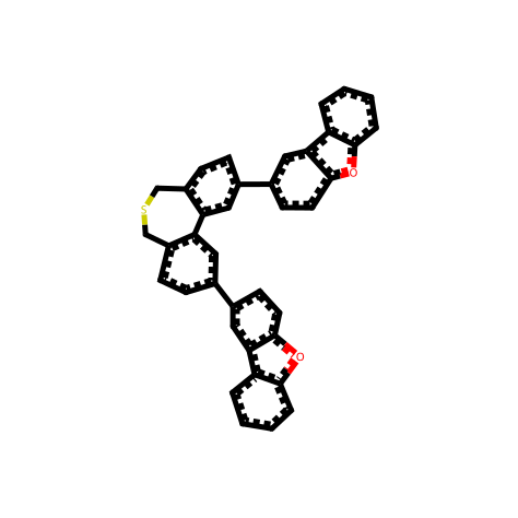 c1ccc2c(c1)oc1ccc(-c3ccc4c(c3)-c3cc(-c5ccc6oc7ccccc7c6c5)ccc3CSC4)cc12